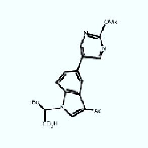 COc1ncc(-c2ccc3c(c2)c(C(C)=O)cn3C(C(=O)O)C(C)(C)C)cn1